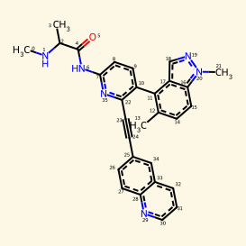 CNC(C)C(=O)Nc1ccc(-c2c(C)ccc3c2cnn3C)c(C#Cc2ccc3ncccc3c2)n1